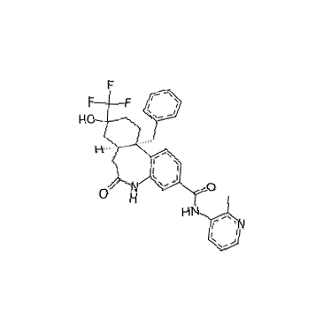 Cc1ncccc1NC(=O)c1ccc2c(c1)NC(=O)C[C@H]1CC(O)(C(F)(F)F)CC[C@@]21Cc1ccccc1